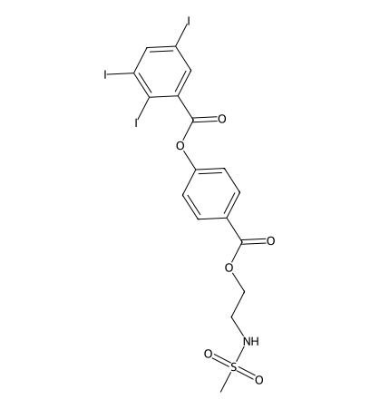 CS(=O)(=O)NCCOC(=O)c1ccc(OC(=O)c2cc(I)cc(I)c2I)cc1